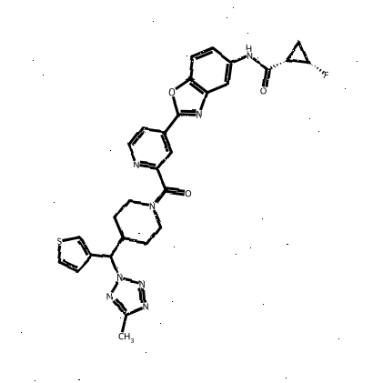 Cc1nnn(C(c2ccsc2)C2CCN(C(=O)c3cc(-c4nc5cc(NC(=O)[C@@H]6C[C@@H]6F)ccc5o4)ccn3)CC2)n1